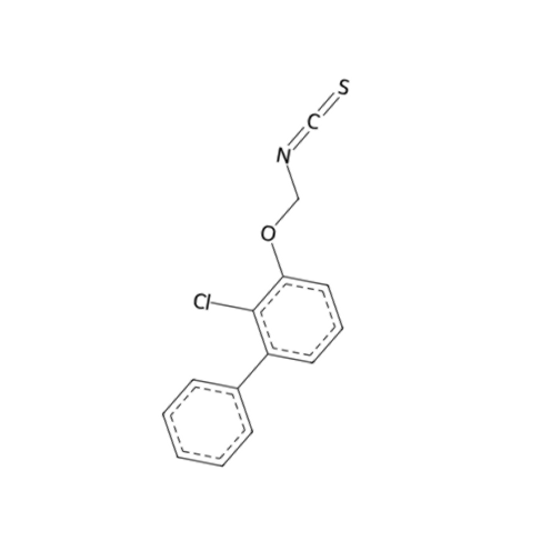 S=C=NCOc1cccc(-c2ccccc2)c1Cl